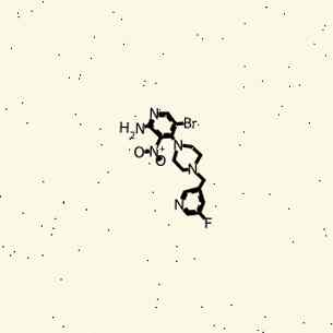 Nc1ncc(Br)c(N2CCN(Cc3cncc(F)c3)CC2)c1[N+](=O)[O-]